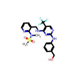 CN(c1ncccc1CNc1nc(Nc2cccc(CO)c2)ncc1C(F)(F)F)S(C)(=O)=O